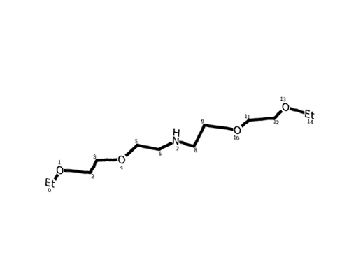 CCOCCOCCNCCOCCOCC